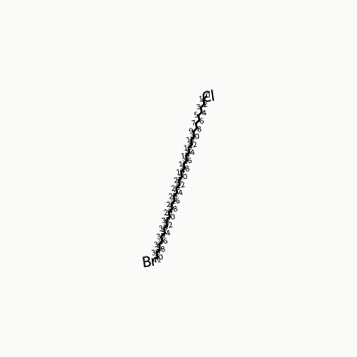 ClCCCCCCCCCCCCCCCCCCCCCCCCCCCCCCCCCCCCCCCCBr